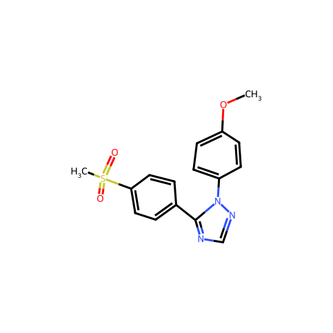 COc1ccc(-n2ncnc2-c2ccc(S(C)(=O)=O)cc2)cc1